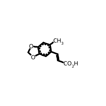 Cc1cc2c(cc1/C=C/C(=O)O)OCO2